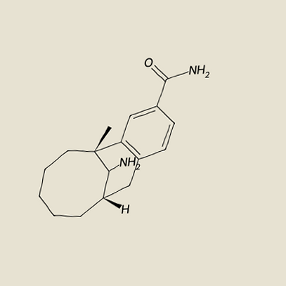 C[C@@]12CCCCC[C@@H](Cc3ccc(C(N)=O)cc31)C2N